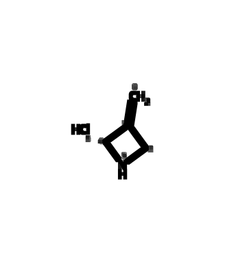 C=C1CNC1.Cl